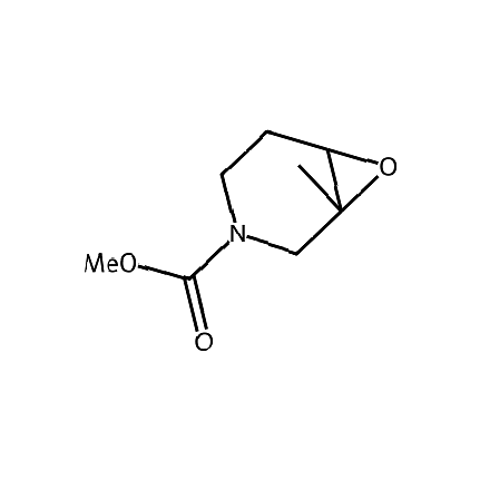 COC(=O)N1CCC2OC2(C)C1